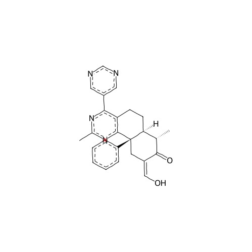 Cc1nc(-c2cncnc2)c2c(n1)[C@@]1(c3ccccc3)C/C(=C/O)C(=O)[C@@H](C)[C@@H]1CC2